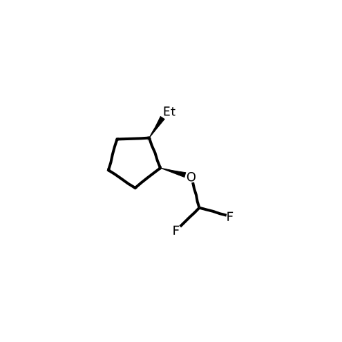 CC[C@@H]1CCC[C@@H]1OC(F)F